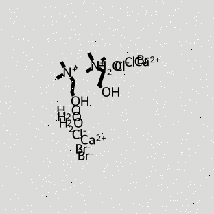 C[N+](C)(C)CCO.C[N+](C)(C)CCO.O.O.O.O.[Br-].[Br-].[Br-].[Ca+2].[Ca+2].[Cl-].[Cl-].[Cl-]